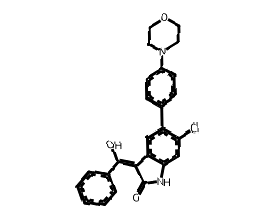 O=C1Nc2cc(Cl)c(-c3ccc(N4CCOCC4)cc3)cc2/C1=C(\O)c1ccccc1